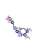 Cc1cc2cc(n1)-c1cnn(C)c1OCCC[C@@H](C)CN1/C(=N/C2=O)Nc2ccc(N3CCN(CCc4cc(F)c([C@H]5CCC(=O)NC5=O)c(F)c4)CC3)cc21